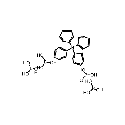 OB(O)O.OB(O)O.OB(O)O.OB(O)O.c1ccc([N+](c2ccccc2)(c2ccccc2)c2ccccc2)cc1